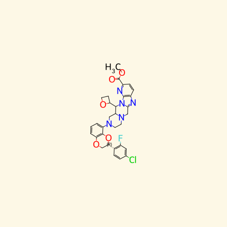 COC(=O)c1ccc2nc3n(c2n1)C(C1CCO1)C1CN(c2cccc4c2O[C@H](c2ccc(Cl)cc2F)CO4)CCN1C3